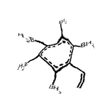 Bc1c(B)c(B)c(C=C)c(B)c1B